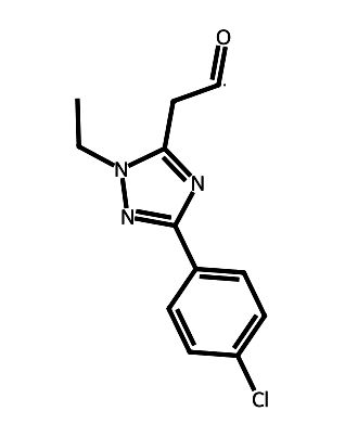 CCn1nc(-c2ccc(Cl)cc2)nc1C[C]=O